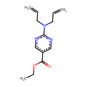 C=CCN(CC=C)c1ncc(C(=O)OCC)cn1